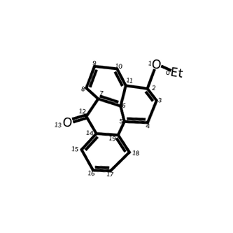 CCOc1ccc2c3c(cccc13)C(=O)c1ccccc1-2